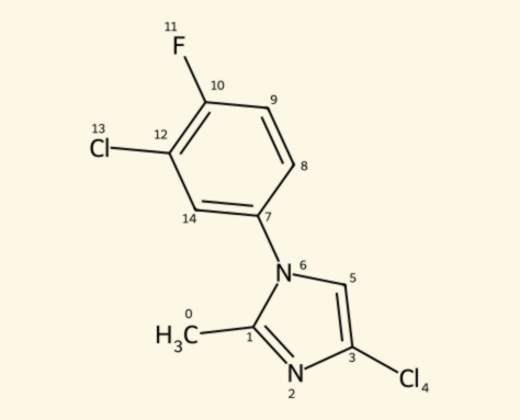 Cc1nc(Cl)cn1-c1ccc(F)c(Cl)c1